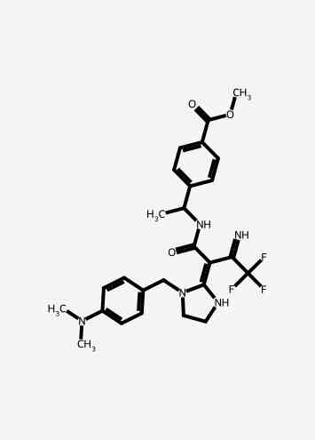 COC(=O)c1ccc(C(C)NC(=O)/C(C(=N)C(F)(F)F)=C2/NCCN2Cc2ccc(N(C)C)cc2)cc1